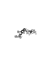 CC(C)(C)[S+]([O-])N=Cc1nc2c(cnn2COCC[Si](C)(C)C)cc1Br